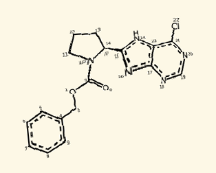 O=C(OCc1ccccc1)N1CCC[C@H]1c1nc2ncnc(Cl)c2[nH]1